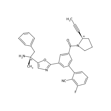 CC#C[C@H]1CCCN1C(=O)c1cc(-c2ncc([C@](C)(N)Cc3ccccc3)o2)cc(-c2cccc(F)c2C#N)c1